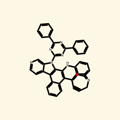 C1#CC(c2c(Nc3ccccc3)c3c(c4ccccc24)c2ccncc2n3-c2nc(-c3ccccc3)nc(-c3ccccc3)n2)=CC=NC1